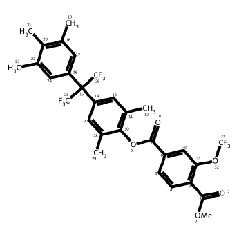 COC(=O)c1ccc(C(=O)Oc2c(C)cc(C(c3cc(C)c(C)c(C)c3)(C(F)(F)F)C(F)(F)F)cc2C)cc1OC(F)(F)F